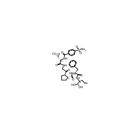 CC(C)C[C@H](NC(=S)[C@H](Cc1ccccc1)NC(=O)[C@@H]1CCCN1C(=O)CNC(=O)[C@H](CC(=O)O)NC(=O)c1ccc(S(N)(=O)=O)cc1)B(O)O